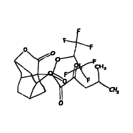 C=C(CC(C)C)C(=O)OC1C2CC3C1OC(=O)C3(C(=O)OC(C(F)(F)F)C(F)(F)F)C2